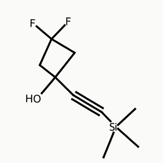 C[Si](C)(C)C#CC1(O)CC(F)(F)C1